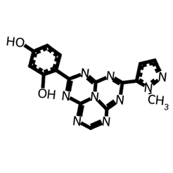 Cn1nccc1C1=NC2=NC(c3ccc(O)cc3O)=NC3=NC=NC(=N1)N32